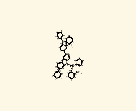 CC12CC(c3ccc4c(c3)c3ccc(-c5ccccc5)cc3n4[C@@H]3[C@@H](c4ccccc4)N3c3ccccc3N)=CC=C1N(c1ccccc1)C21C=CC=CC1